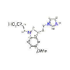 COc1ccc2c(c1)C(CCn1ccnc1)CN2CCC(=O)O